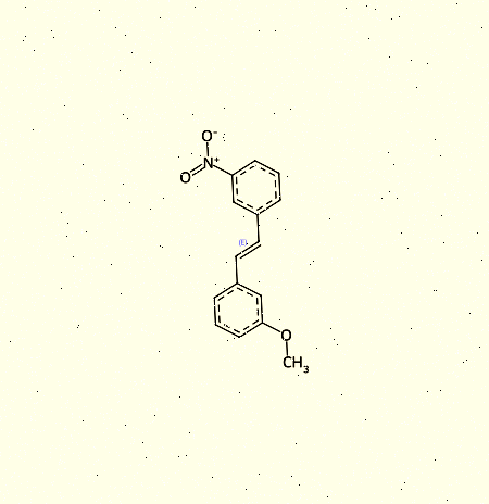 COc1cccc(/C=C/c2cccc([N+](=O)[O-])c2)c1